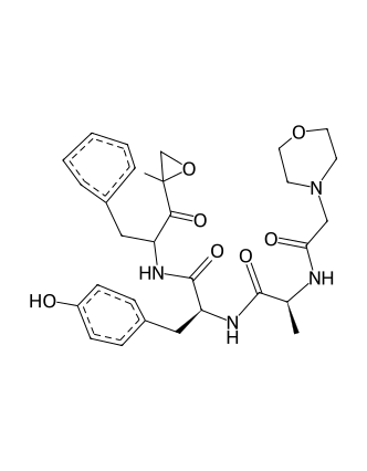 C[C@H](NC(=O)CN1CCOCC1)C(=O)N[C@@H](Cc1ccc(O)cc1)C(=O)NC(Cc1ccccc1)C(=O)C1(C)CO1